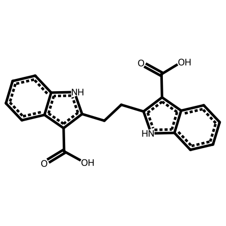 O=C(O)c1c(CCc2[nH]c3ccccc3c2C(=O)O)[nH]c2ccccc12